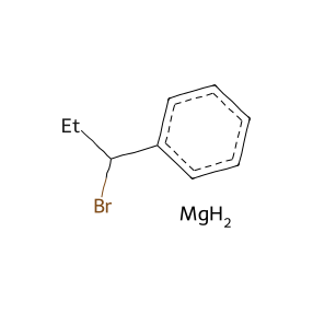 CCC(Br)c1ccccc1.[MgH2]